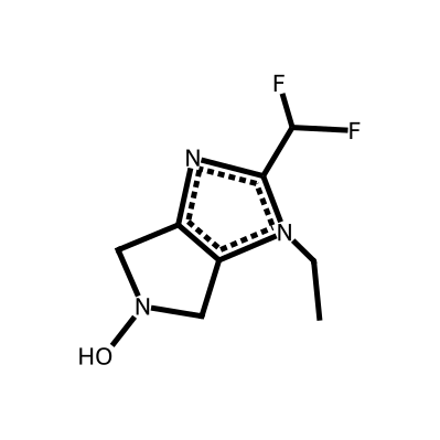 CCn1c(C(F)F)nc2c1CN(O)C2